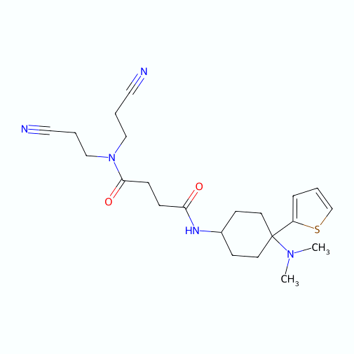 CN(C)C1(c2cccs2)CCC(NC(=O)CCC(=O)N(CCC#N)CCC#N)CC1